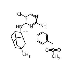 CS(=O)(=O)Cc1cccc(Nc2ncc(Cl)c(N[C@H]3C4CC5CC3C[C@](C)(C5)C4)n2)c1